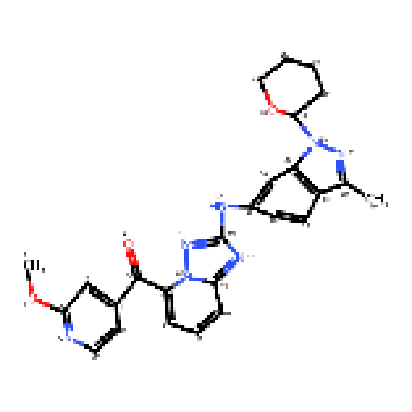 COc1cc(C(=O)c2cccc3nc(Nc4ccc5c(C)nn(C6CCCCO6)c5c4)nn23)ccn1